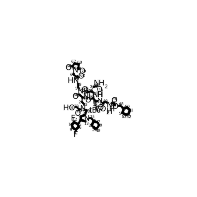 CC(C)(C)[C@H](c1cc(-c2cc(F)ccc2F)cn1Cc1ccccc1)N(CC[C@H](NC(=O)[C@H](CC(N)=O)NC(=O)[C@@H](CC(=O)O)NC(=O)CNC(=O)OCc1ccccc1)C(=O)NCCNC(=O)CN1C(=O)C=CC1=O)C(=O)CO